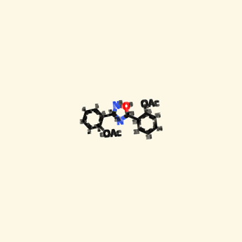 CC(=O)Oc1ccccc1-c1noc(-c2ccccc2OC(C)=O)n1